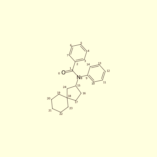 O=C(c1ccccc1)N(c1ccccc1)C1CCC2(CCCCC2)C1